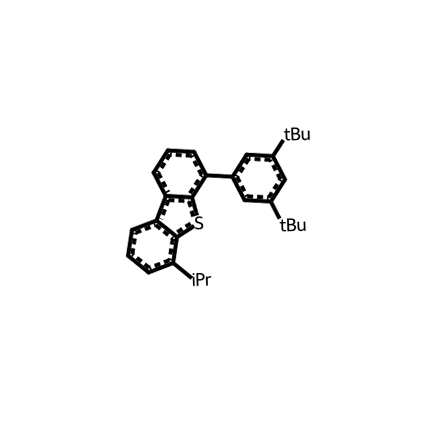 CC(C)c1cccc2c1sc1c(-c3cc(C(C)(C)C)cc(C(C)(C)C)c3)cccc12